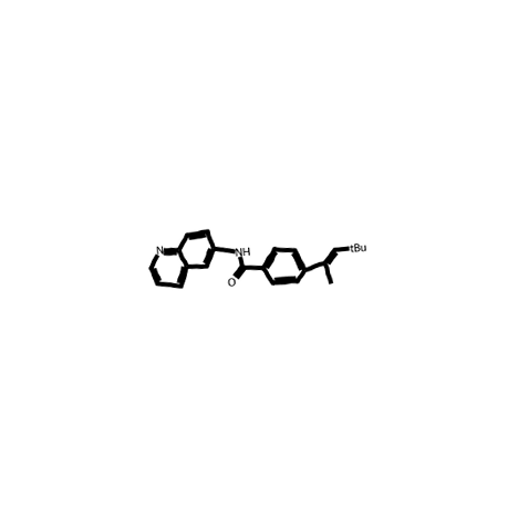 CC(=CC(C)(C)C)c1ccc(C(=O)Nc2ccc3ncccc3c2)cc1